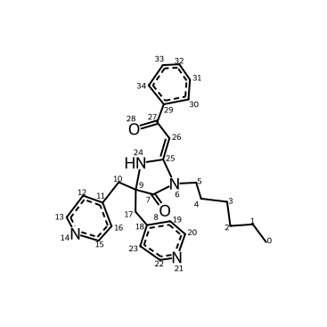 CCCCCCN1C(=O)C(Cc2ccncc2)(Cc2ccncc2)NC1=CC(=O)c1ccccc1